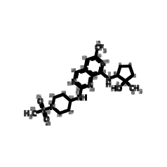 CC1(O)CCCC1Nc1nc(C(F)(F)F)cc2cnc(NC3CCN(S(C)(=O)=O)CC3)nc12